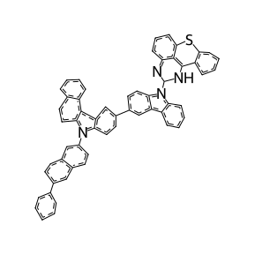 c1ccc(-c2ccc3cc(-n4c5ccc(-c6ccc7c(c6)c6ccccc6n7C6N=c7cccc8c7=C(N6)c6ccccc6S8)cc5c5c6ccccc6ccc54)ccc3c2)cc1